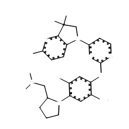 COc1cc(N2CCCC2CN(C)C)c([N+](=O)[O-])cc1Nc1nccc(N2CC(C)(C)c3nc(C)ccc32)n1